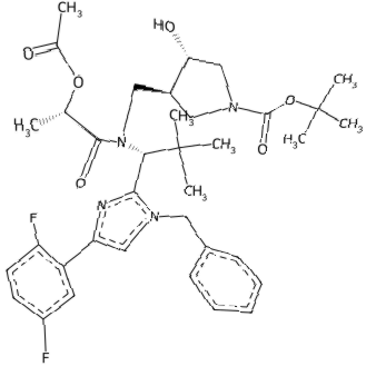 CC(=O)O[C@@H](C)C(=O)N(C[C@@H]1CN(C(=O)OC(C)(C)C)C[C@H]1O)[C@@H](c1nc(-c2cc(F)ccc2F)cn1Cc1ccccc1)C(C)(C)C